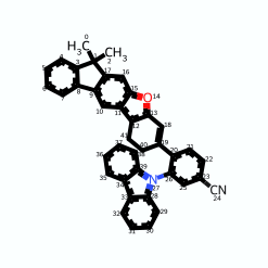 CC1(C)c2ccccc2-c2cc3c4c(oc3cc21)C=C(c1ccc(C#N)cc1-n1c2ccccc2c2ccccc21)CC4